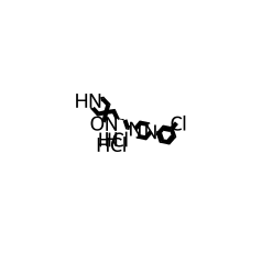 Cl.Cl.O=C1N[C@@H](CCN2CCN(c3cccc(Cl)c3)CC2)CC12CCNCC2